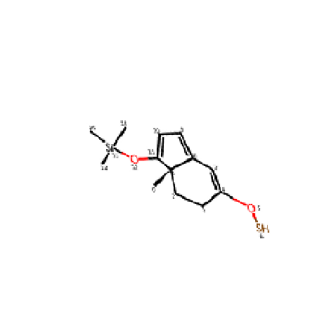 C[C@]12CCC(OS)=CC1=CC=C2O[Si](C)(C)C